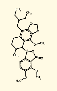 CCN(CC)Cc1c2c(c(OC)c3c1OCO3)C([C@H]1OC(=O)c3c1ccc(OC)c3OC)N(C)CC2